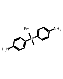 C[N+](C)(c1ccc(N)cc1)c1ccc(N)cc1.[Br-]